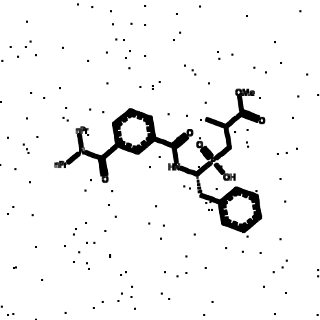 CCCN(CCC)C(=O)c1cccc(C(=O)N[C@@H](Cc2ccccc2)P(=O)(O)CC(C)C(=O)OC)c1